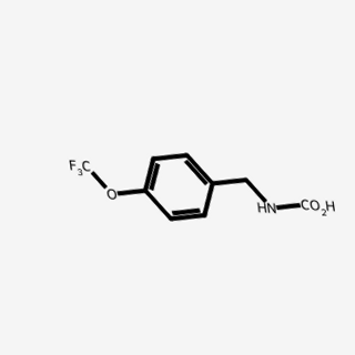 O=C(O)NCc1ccc(OC(F)(F)F)cc1